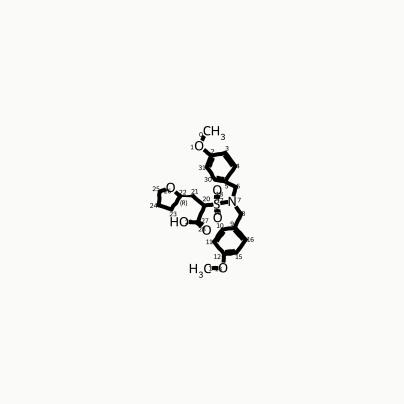 COc1ccc(CN(Cc2ccc(OC)cc2)S(=O)(=O)C(C[C@H]2CCCO2)C(=O)O)cc1